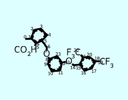 Cc1cccc(COc2cccc(OCc3ccc(C(F)(F)F)cc3C(F)(F)F)c2)c1C(=O)O